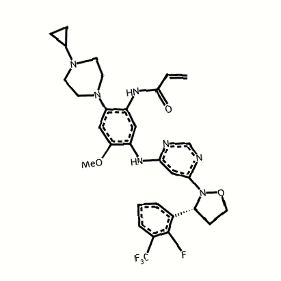 C=CC(=O)Nc1cc(Nc2cc(N3OCC[C@@H]3c3cccc(C(F)(F)F)c3F)ncn2)c(OC)cc1N1CCN(C2CC2)CC1